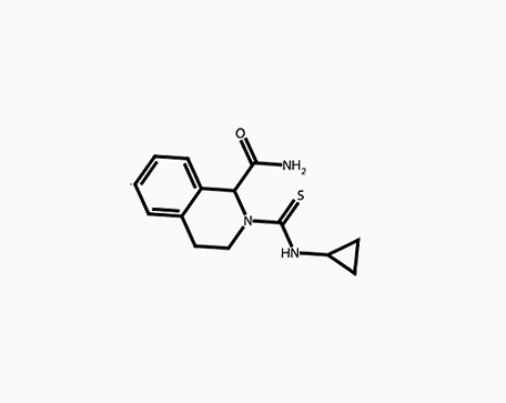 NC(=O)C1c2cc[c]cc2CCN1C(=S)NC1CC1